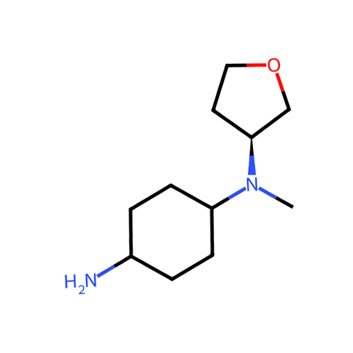 CN(C1CCC(N)CC1)[C@H]1CCOC1